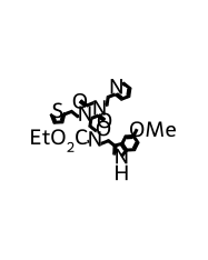 CCOC(=O)CN(CCc1c[nH]c2ccc(OC)cc12)C(=O)CC1C(=O)N(CCc2ccccn2)CC(=O)N1CCc1cccs1